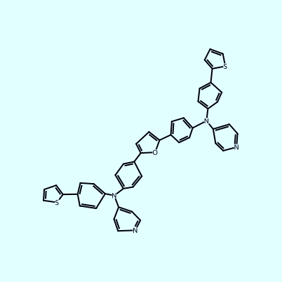 c1csc(-c2ccc(N(c3ccncc3)c3ccc(-c4ccc(-c5ccc(N(c6ccncc6)c6ccc(-c7cccs7)cc6)cc5)o4)cc3)cc2)c1